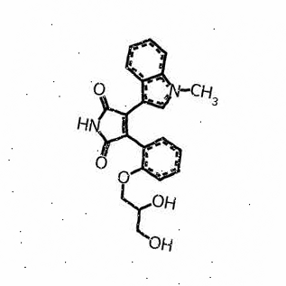 Cn1cc(C2=C(c3ccccc3OCC(O)CO)C(=O)NC2=O)c2ccccc21